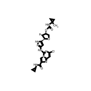 CC1(NC(=O)O[C@H]2CO[C@@H](c3cc(Nc4nc(Cl)cc5nc(C(=O)NC6CC6)cn45)n[nH]3)[C@@H]2F)CC1